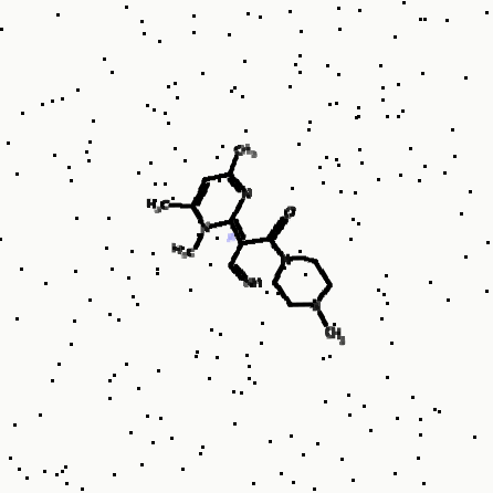 CC1=CC(C)=N/C(=C(/C=N)C(=O)N2CCN(C)CC2)N1C